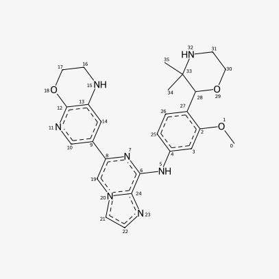 COc1cc(Nc2nc(-c3cnc4c(c3)NCCO4)cn3ccnc23)ccc1C1OCCNC1(C)C